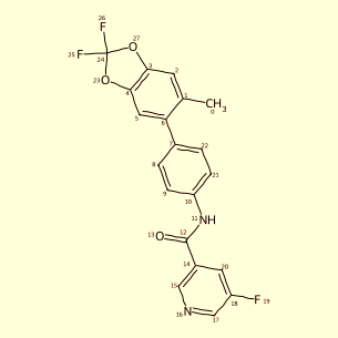 Cc1cc2c(cc1-c1ccc(NC(=O)c3cncc(F)c3)cc1)OC(F)(F)O2